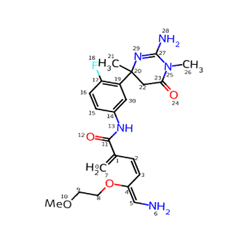 C=C(/C=C\C(=C/N)OCCOC)C(=O)Nc1ccc(F)c(C2(C)CC(=O)N(C)C(N)=N2)c1